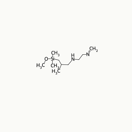 C=NCCNCC(C)C[Si](C)(C)OC